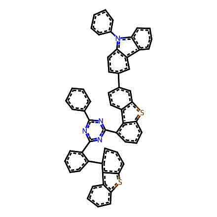 c1ccc(-c2nc(-c3ccccc3-c3cccc4sc5ccccc5c34)nc(-c3cccc4sc5cc(-c6ccc7c(c6)c6ccccc6n7-c6ccccc6)ccc5c34)n2)cc1